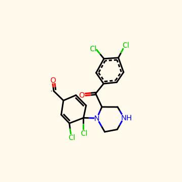 O=[C]C1C=CC(Cl)(N2CCNCC2C(=O)c2ccc(Cl)c(Cl)c2)C(Cl)=C1